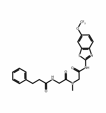 CN(CC(=O)Nc1nc2ccc(OC(F)(F)F)cc2s1)C(=O)CNC(=O)CCc1ccccc1